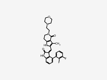 Cc1c(C=C2C(=O)Nc3cccc(-c4cccc(F)c4F)c32)[nH]c2c1C(=O)N(CCN1CCOCC1)CC2